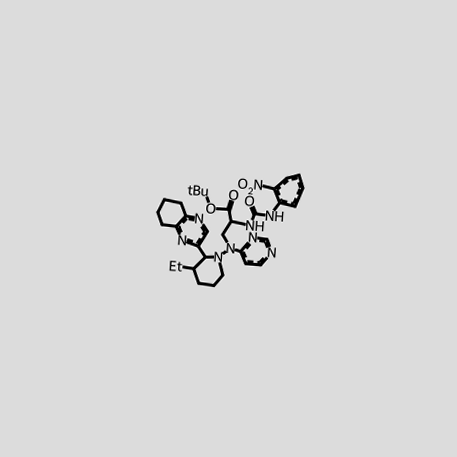 CCC1CCCN(N(CC(NC(=O)Nc2ccccc2[N+](=O)[O-])C(=O)OC(C)(C)C)c2ccncn2)C1c1cnc2c(n1)CCCC2